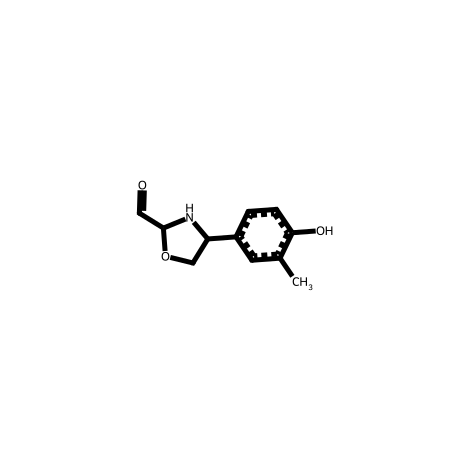 Cc1cc(C2COC(C=O)N2)ccc1O